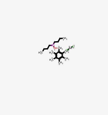 CCCCP(O)CCCC.Cc1c(C)c(C)c(C)c(C)c1C.[Cl][Ru][Cl]